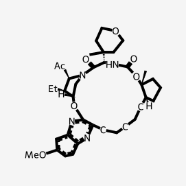 CC[C@@H]1[C@@H]2CN(C(=O)[C@H](C3(C)CCOCC3)NC(=O)O[C@]3(C)CCC[C@H]3CCCCCc3nc4ccc(OC)cc4nc3O2)[C@@H]1C(C)=O